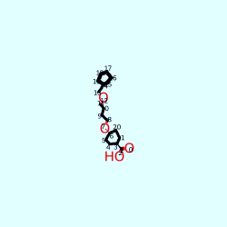 O=C(O)[C@H]1CC[C@H](OCCCCOCc2ccccc2)CC1